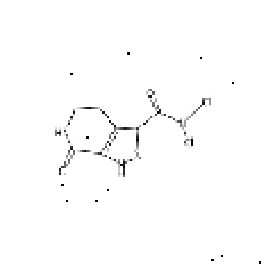 O=C1NCCc2c(C(=O)N(Cl)Cl)n[nH]c21